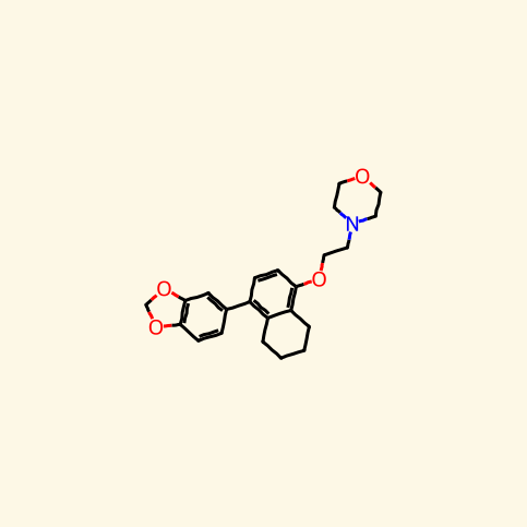 c1cc2c(cc1-c1ccc(OCCN3CCOCC3)c3c1CCCC3)OCO2